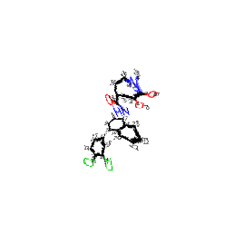 COc1c(C(=O)N[C@H]2CC[C@@H](c3ccc(Cl)c(Cl)c3)c3ccccc32)ccn(C)c1=O